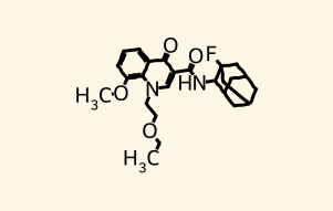 CCOCCn1cc(C(=O)NC2C3CC4CC(C3)CC2(F)C4)c(=O)c2cccc(OC)c21